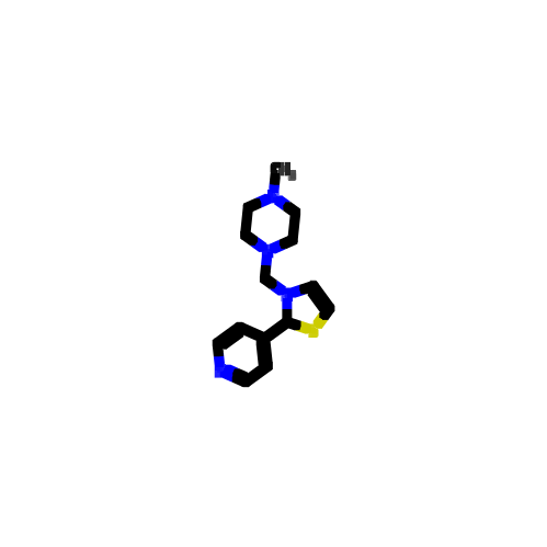 CN1CCN(CN2[C]=CSC2c2ccncc2)CC1